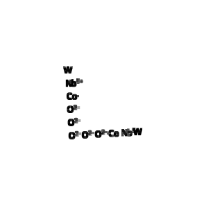 [Co].[Co].[Nb+5].[Nb+5].[O-2].[O-2].[O-2].[O-2].[O-2].[W].[W]